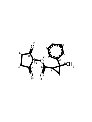 CC1(c2ccccc2)CC1C(=O)ON1C(=O)CCC1=O